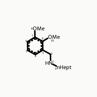 CCCCCCCNCc1cccc(OC)c1OC